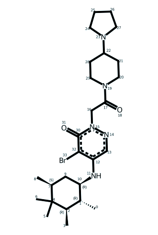 C[C@@H]1[C@@H](C)C(C)(C)[C@@H](C)C[C@H]1Nc1cnn(CC(=O)N2CCC(N3CCCC3)CC2)c(=O)c1Br